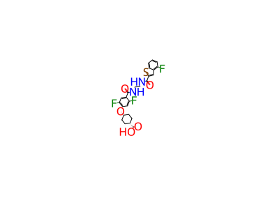 O=C(NCCNC(=O)c1cc(F)c(O[C@H]2CC[C@@H](C(=O)O)CC2)cc1F)c1cc2c(F)cccc2s1